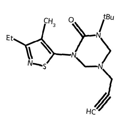 C#CCN1CN(c2snc(CC)c2C)C(=O)N(C(C)(C)C)C1